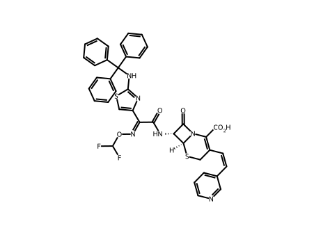 O=C(O)C1=C(/C=C\c2cccnc2)CS[C@H]2[C@H](NC(=O)C(=NOC(F)F)c3csc(NC(c4ccccc4)(c4ccccc4)c4ccccc4)n3)C(=O)N12